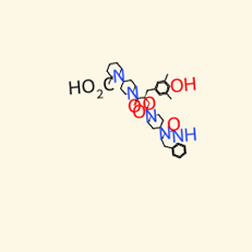 Cc1cc(C[C@@H](OC(=O)N2CCC(N3CCc4ccccc4NC3=O)CC2)C(=O)N2CCC(N3CCCC[C@@H]3C(=O)O)CC2)cc(C)c1O